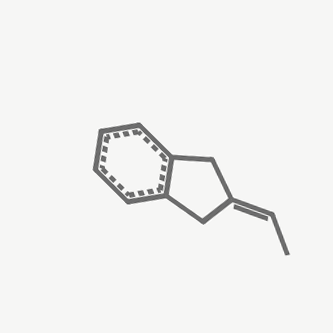 CC=C1Cc2ccccc2C1